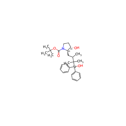 CC(C[C@@H]1[C@@H](O)CCN1C(=O)OC(C)(C)C)C(C)(C)[Si](O)(c1ccccc1)c1ccccc1